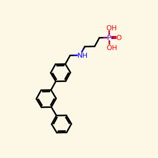 O=P(O)(O)CCCNCc1ccc(-c2cccc(-c3ccccc3)c2)cc1